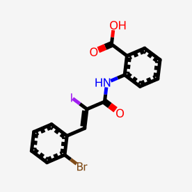 O=C(Nc1ccccc1C(=O)O)C(I)=Cc1ccccc1Br